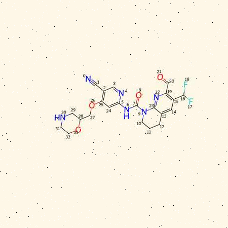 N#Cc1cnc(NC(=O)N2CCCc3cc(C(F)F)c(C=O)nc32)cc1OCC1CNCCO1